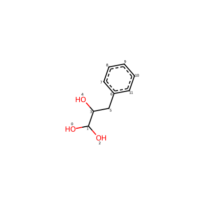 OC(O)C(O)Cc1ccccc1